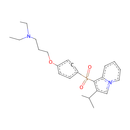 CCN(CC)CCCOc1ccc(S(=O)(=O)c2c(C(C)C)cn3ccccc23)cc1